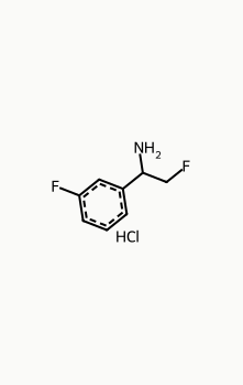 Cl.NC(CF)c1cccc(F)c1